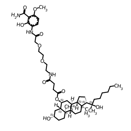 CCCCCC[C@](C)(O)[C@H]1CC[C@H]2[C@@H]3C[C@H](OC(=O)CCC(=O)NCCOCCOCC(=O)Nc4ccc(OC)c(C(N)=O)c4O)[C@H]4C[C@@H](O)CC[C@]4(C)[C@H]3CC[C@@]21C